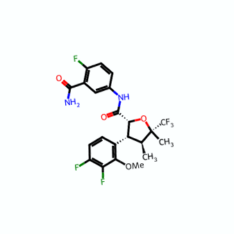 COc1c([C@@H]2[C@H](C(=O)Nc3ccc(F)c(C(N)=O)c3)O[C@](C)(C(F)(F)F)[C@H]2C)ccc(F)c1F